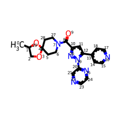 CC1COC2(CCN(C(=O)c3cc(-c4ccncc4)n(-c4cnccn4)n3)CC2)O1